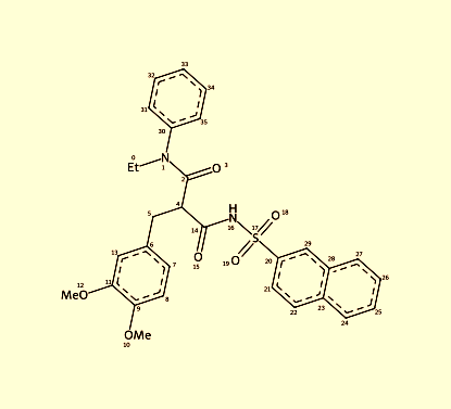 CCN(C(=O)C(Cc1ccc(OC)c(OC)c1)C(=O)NS(=O)(=O)c1ccc2ccccc2c1)c1ccccc1